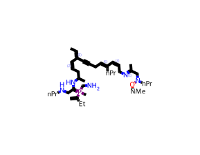 C=C(CC)P(C)(CN)=C(CNCCC)NC(C)C/C=C\C(C#CC/C=C(/C=C\C/N=C(\C)CN(CCC)ONC)CCC)=C/C